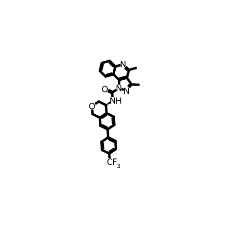 Cc1nc2ccccc2c2c1c(C)nn2C(=O)N[C@@H]1COCc2cc(-c3ccc(C(F)(F)F)cc3)ccc21